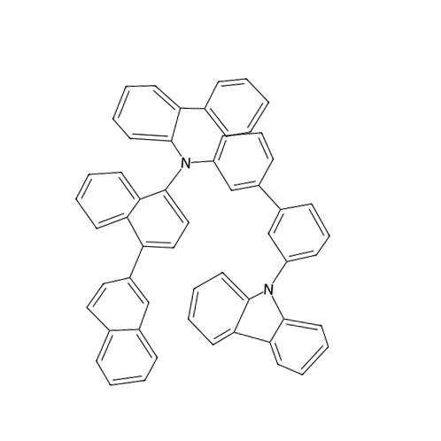 c1ccc(-c2ccccc2N(c2cccc(-c3cccc(-n4c5ccccc5c5ccccc54)c3)c2)c2ccc(-c3ccc4ccccc4c3)c3ccccc23)cc1